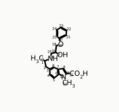 CC(Cc1ccc2c(c1)cc(C(=O)O)n2C)NCC(O)COc1ccccc1